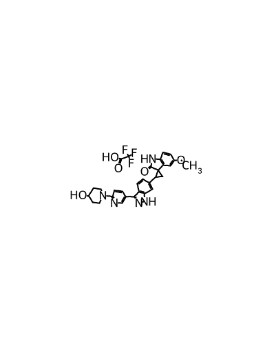 COc1ccc2c(c1)C1(CC1c1ccc3c(-c4ccc(N5CCC(O)CC5)nc4)n[nH]c3c1)C(=O)N2.O=C(O)C(F)(F)F